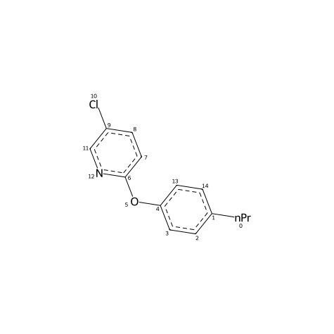 CCCc1ccc(Oc2ccc(Cl)cn2)cc1